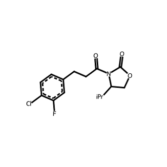 CC(C)C1COC(=O)N1C(=O)CCc1ccc(Cl)c(F)c1